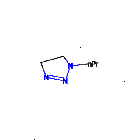 CCCN1CCN=N1